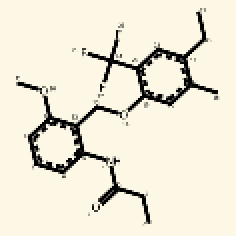 CCC(=O)Nc1cccc(OC)c1COc1cc(C)c(CC)cc1C(F)(F)F